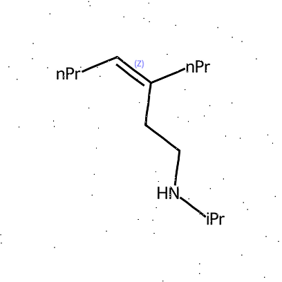 CCC/C=C(/CCC)CCNC(C)C